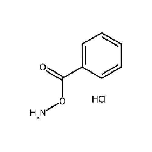 Cl.NOC(=O)c1ccccc1